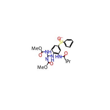 COC(=O)N=C(NC(=O)OC)Nc1ccc([S+]([O-])c2ccccc2)cc1NC(=O)C(C)C